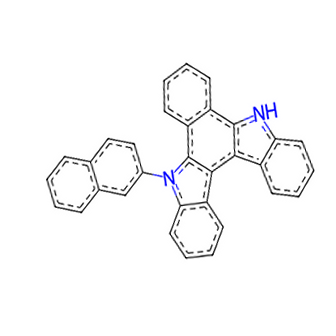 c1ccc2cc(-n3c4ccccc4c4c5c6ccccc6[nH]c5c5ccccc5c43)ccc2c1